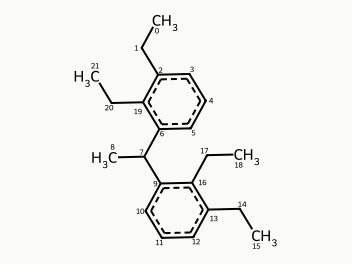 CCc1cccc(C(C)c2cccc(CC)c2CC)c1CC